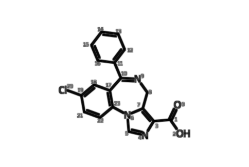 O=C(O)c1ncn2c1CN=C(c1ccccc1)c1cc(Cl)ccc1-2